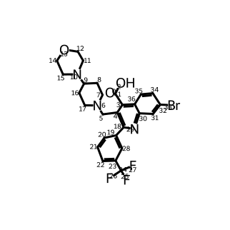 O=C(O)c1c(CN2CCC(N3CCOCC3)CC2)c(-c2cccc(C(F)(F)F)c2)nc2cc(Br)ccc12